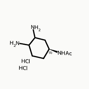 CC(=O)N[C@H]1CCC(N)C(N)C1.Cl.Cl